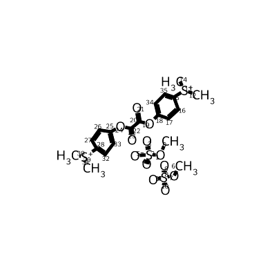 COS(=O)(=O)[O-].COS(=O)(=O)[O-].C[S+](C)c1ccc(OC(=O)C(=O)Oc2ccc([S+](C)C)cc2)cc1